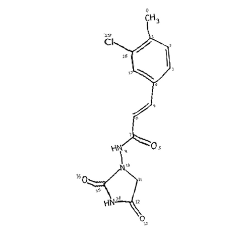 Cc1ccc(C=CC(=O)NN2CC(=O)NC2=O)cc1Cl